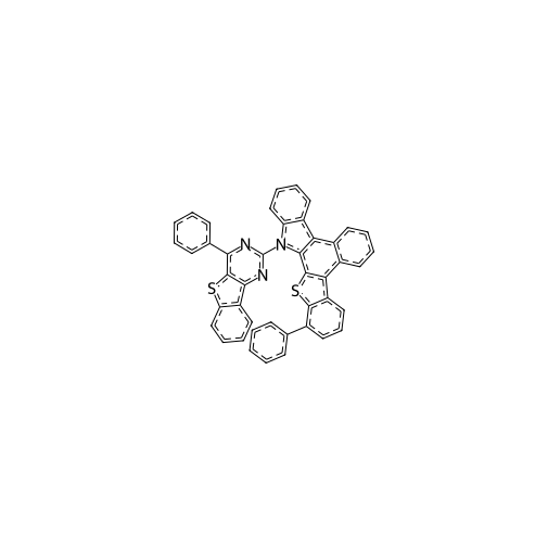 c1ccc(-c2cccc3c2sc2c3c3ccccc3c3c4ccccc4n(-c4nc(-c5ccccc5)c5sc6ccccc6c5n4)c23)cc1